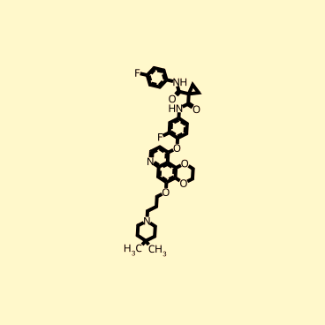 CC1(C)CCN(CCCOc2cc3nccc(Oc4ccc(NC(=O)C5(C(=O)Nc6ccc(F)cc6)CC5)cc4F)c3c3c2OCCO3)CC1